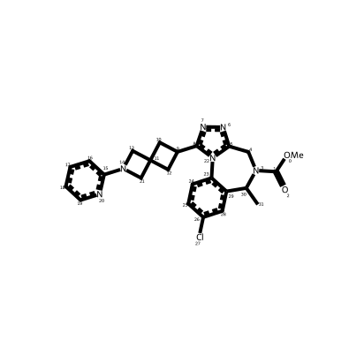 COC(=O)N1Cc2nnc(C3CC4(C3)CN(c3ccccn3)C4)n2-c2ccc(Cl)cc2C1C